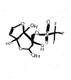 O=S(=O)(OC1(O)C(O)OC2(O)C=COC21O)C(F)(F)F